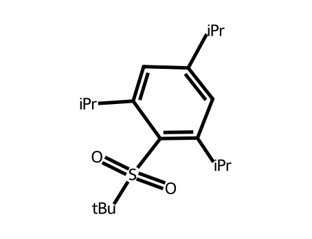 CC(C)c1cc(C(C)C)c(S(=O)(=O)C(C)(C)C)c(C(C)C)c1